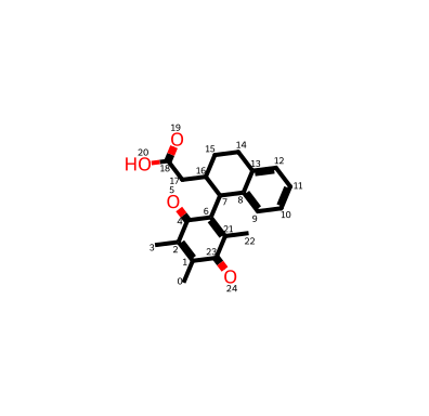 CC1=C(C)C(=O)C(C2c3ccccc3CCC2CC(=O)O)=C(C)C1=O